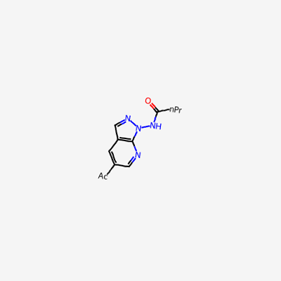 CCCC(=O)Nn1ncc2cc(C(C)=O)cnc21